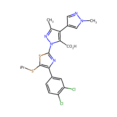 Cc1nn(-c2nc(-c3ccc(Cl)c(Cl)c3)c(SC(C)C)s2)c(C(=O)O)c1-c1cnn(C)c1